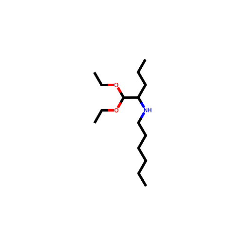 CCCCCCNC(CCC)C(OCC)OCC